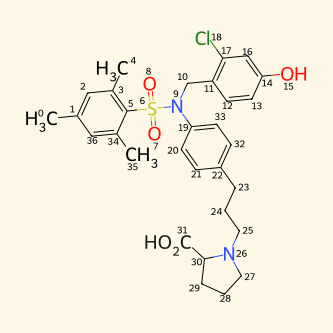 Cc1cc(C)c(S(=O)(=O)N(Cc2ccc(O)cc2Cl)c2ccc(CCCN3CCCC3C(=O)O)cc2)c(C)c1